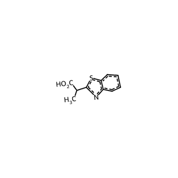 CC(C(=O)O)c1nc2ccccc2s1